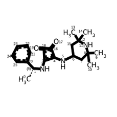 C[C@@H](Nc1c(NC2CC(C)(C)NC(C)(C)C2)c(=O)c1=O)c1ccccc1